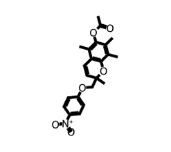 CC(=O)Oc1c(C)c(C)c2c(c1C)C=CC(C)(COc1ccc([N+](=O)[O-])cc1)O2